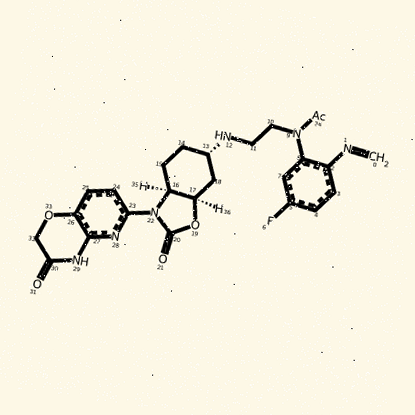 C=Nc1ccc(F)cc1N(CCN[C@H]1CC[C@H]2[C@@H](C1)OC(=O)N2c1ccc2c(n1)NC(=O)CO2)C(C)=O